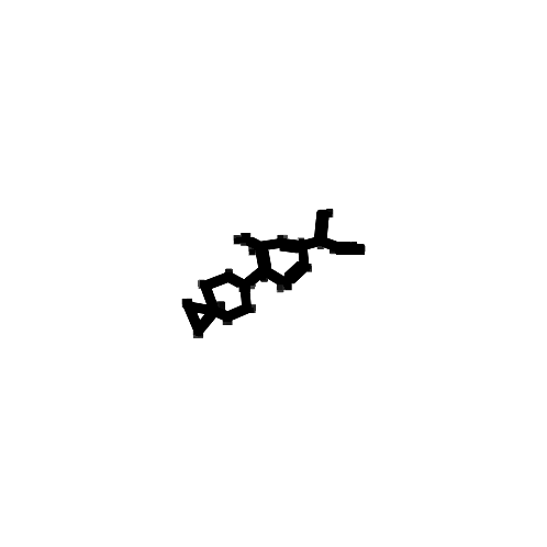 COC(=O)c1cnc(N2CCC3(CC2)CC3)c(F)c1